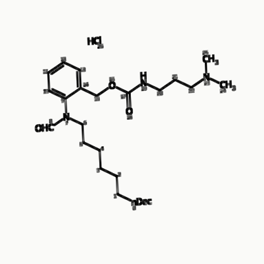 CCCCCCCCCCCCCCCCN(C=O)c1ccccc1COC(=O)NCCCN(C)C.Cl